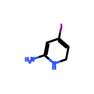 NC1=CC(I)=CCN1